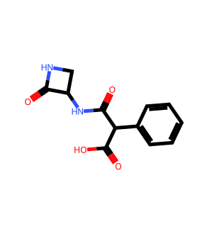 O=C1NCC1NC(=O)C(C(=O)O)c1ccccc1